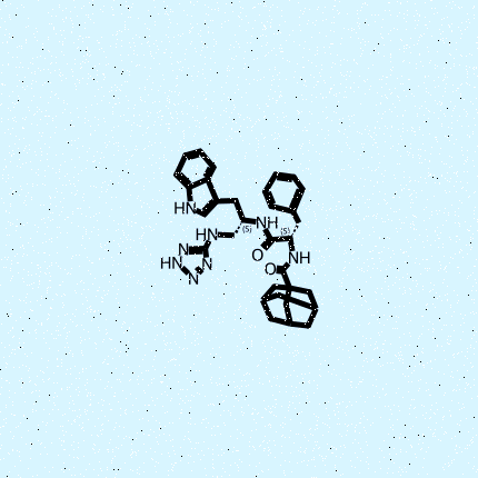 O=C(N[C@H](CNc1nn[nH]n1)Cc1c[nH]c2ccccc12)[C@H](Cc1ccccc1)NC(=O)C12CC3CC(CC(C3)C1)C2